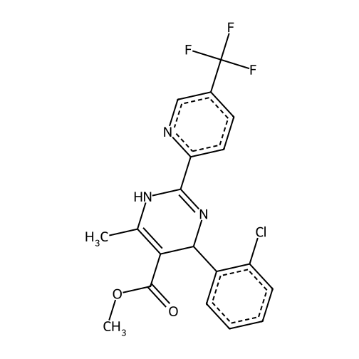 COC(=O)C1=C(C)NC(c2ccc(C(F)(F)F)cn2)=NC1c1ccccc1Cl